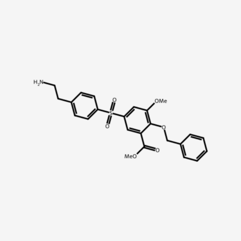 COC(=O)c1cc(S(=O)(=O)c2ccc(CCN)cc2)cc(OC)c1OCc1ccccc1